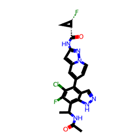 CC(=O)NC(C)c1c(F)c(Cl)c(-c2ccn3nc(NC(=O)[C@@H]4C[C@@H]4F)cc3c2)c2cn[nH]c12